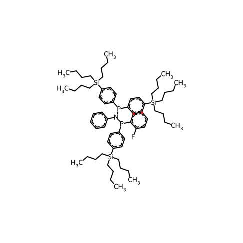 CCCC[Si](CCCC)(CCCC)c1ccc(P(c2ccc([Si](CCCC)(CCCC)CCCC)cc2)N(c2ccccc2)P(c2ccc([Si](CCCC)(CCCC)CCCC)cc2)c2ccccc2F)cc1